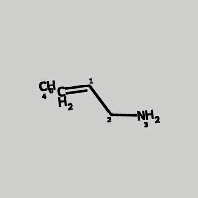 C=CCN.[CH]